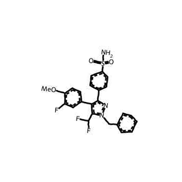 COc1ccc(-c2c(-c3ccc(S(N)(=O)=O)cc3)nn(Cc3ccccc3)c2C(F)F)cc1F